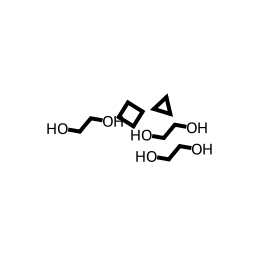 C1CC1.C1CCC1.OCCO.OCCO.OCCO